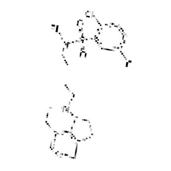 CCN(CCCCN1CCc2cccc3c2C1CC3)S(=O)(=O)c1cc(Cl)ccc1Cl